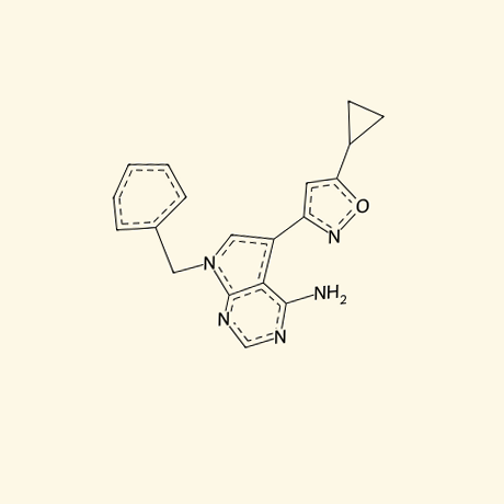 Nc1ncnc2c1c(-c1cc(C3CC3)on1)cn2Cc1ccccc1